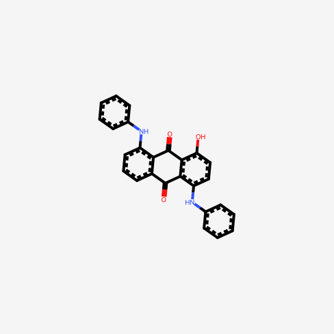 O=C1c2c(Nc3ccccc3)cccc2C(=O)c2c(Nc3ccccc3)ccc(O)c21